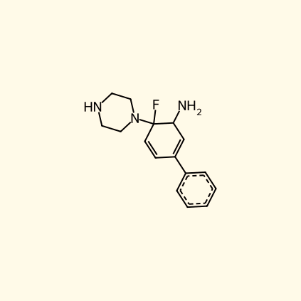 NC1C=C(c2ccccc2)C=CC1(F)N1CCNCC1